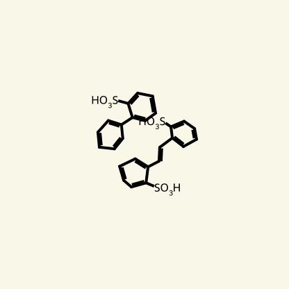 O=S(=O)(O)c1ccccc1-c1ccccc1.O=S(=O)(O)c1ccccc1C=Cc1ccccc1S(=O)(=O)O